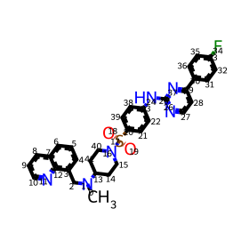 CN(Cc1cccc2cccnc12)C1CCN(S(=O)(=O)c2ccc(Nc3nccc(-c4ccc(F)cc4)n3)cc2)CC1